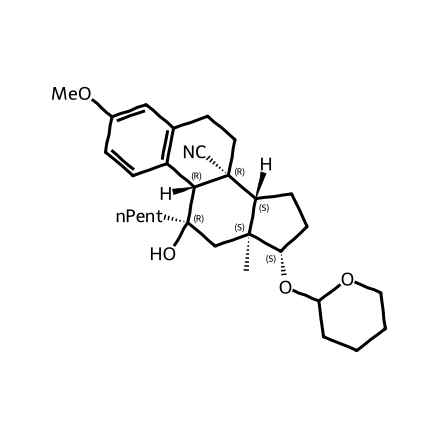 CCCCC[C@@]1(O)C[C@]2(C)[C@@H](OC3CCCCO3)CC[C@H]2[C@]2(C#N)CCc3cc(OC)ccc3[C@@H]12